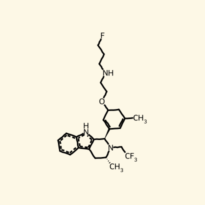 CC1=CC([C@@H]2c3[nH]c4ccccc4c3C[C@@H](C)N2CC(F)(F)F)=CC(OCCNCCCF)C1